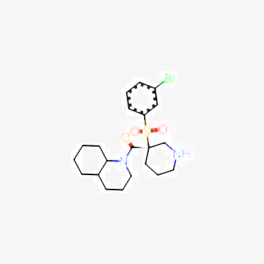 O=C(N1CCCC2CCCCC21)[C@]1(S(=O)(=O)c2cccc(Br)c2)CCCNC1